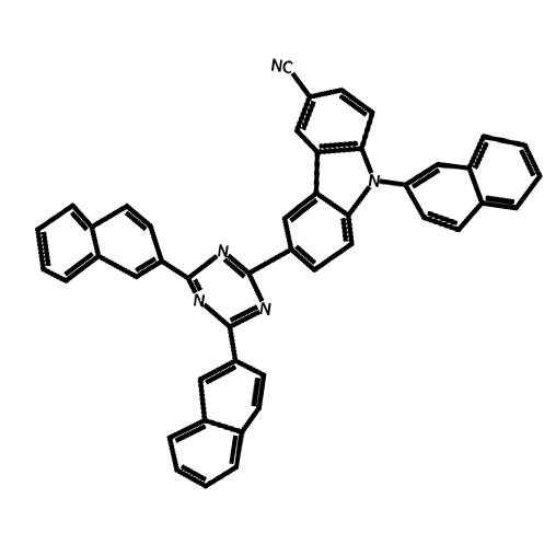 N#Cc1ccc2c(c1)c1cc(-c3nc(-c4ccc5ccccc5c4)nc(-c4ccc5ccccc5c4)n3)ccc1n2-c1ccc2ccccc2c1